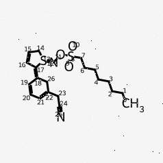 CCCCCCCCS(=O)(=O)ON=S1CC=CC1=C1C=CC=C(CC#N)C1